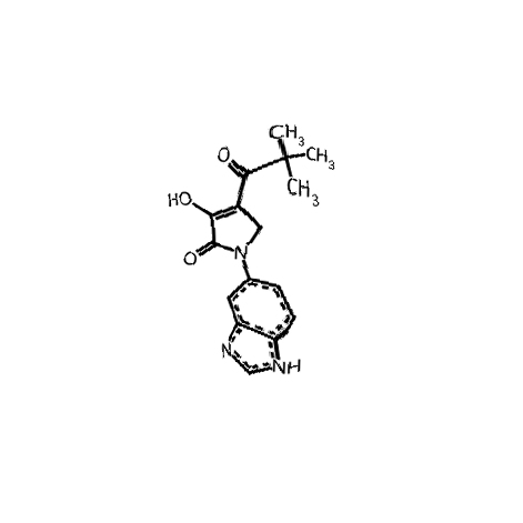 CC(C)(C)C(=O)C1=C(O)C(=O)N(c2ccc3[nH]cnc3c2)C1